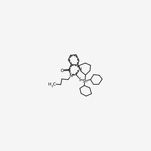 CCCCn1c([S][Sn]([CH]2CCCCC2)([CH]2CCCCC2)[CH]2CCCCC2)nc2ccccc2c1=O